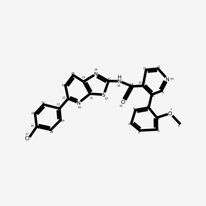 COc1ccccc1-c1cnccc1C(=O)Nc1nc2ccc(-c3ccc(Cl)cc3)nc2s1